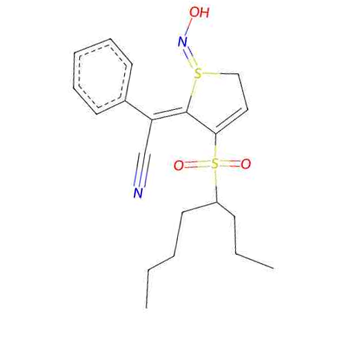 CCCCC(CCC)S(=O)(=O)C1=CCS(=NO)C1=C(C#N)c1ccccc1